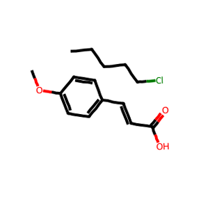 CCCCCCl.COc1ccc(/C=C/C(=O)O)cc1